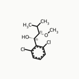 CO[C@@H](C(C)C)[C@@H](O)c1c(Cl)cccc1Cl